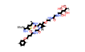 CNC(=N)c1csc([C@@H](C)NC(=O)[C@@H]2CC3(COCCNC(=O)CNC[C@H](O)[C@H](O)[C@@H](O)[C@H](C)O)C[C@@H]3N2C(=O)CNC(=O)CCCOc2ccccc2)c1